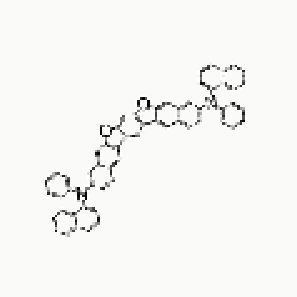 c1ccc(N(c2ccc3cc4c(cc3c2)oc2cc3oc5cc6cc(N(c7ccccc7)c7cccc8ccccc78)ccc6cc5c3cc24)c2cccc3ccccc23)cc1